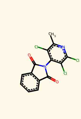 Cc1nc(Cl)c(Cl)c(N2C(=O)c3ccccc3C2=O)c1Cl